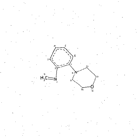 C=Nc1ccccc1N1CCOCC1